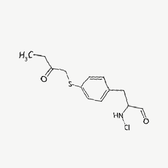 CCC(=O)CSc1ccc(CC(C=O)NCl)cc1